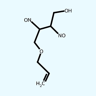 C=CCOCC(N=O)C(CO)N=O